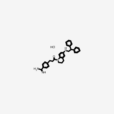 Cl.N=C(N)c1ccc(CCC(=O)N2CCCc3cc(NCC(c4ccccc4)c4ccccc4)ccc32)cc1